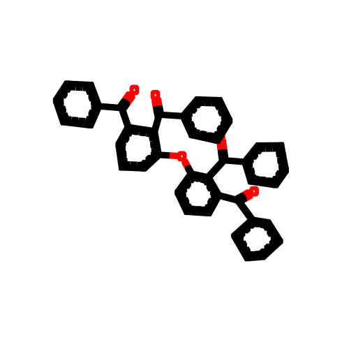 O=C(c1ccccc1)c1cccc(Oc2cccc(C(=O)c3ccccc3)c2C(=O)c2ccccc2)c1C(=O)c1ccccc1